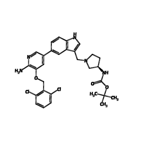 CC(C)(C)OC(=O)N[C@@H]1CCN(Cc2c[nH]c3ccc(-c4cnc(N)c(OCc5c(Cl)cccc5Cl)c4)cc23)C1